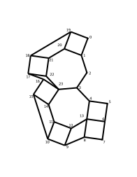 C1C2CC3C4CC5CC6C7C8C(C7C564)C4C8C5C6C7C1C2C7C6C345